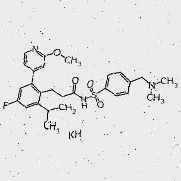 COc1cc(-c2cc(F)cc(C(C)C)c2CCC(=O)NS(=O)(=O)c2ccc(CN(C)C)cc2)ccn1.[KH]